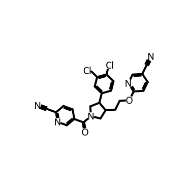 N#Cc1ccc(OCCC2CN(C(=O)c3ccc(C#N)nc3)CC2c2ccc(Cl)c(Cl)c2)nc1